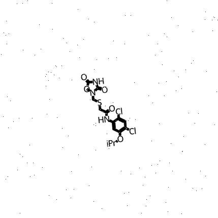 CC(C)Oc1cc(NC(=O)CSCn2oc(=O)[nH]c2=O)c(Cl)cc1Cl